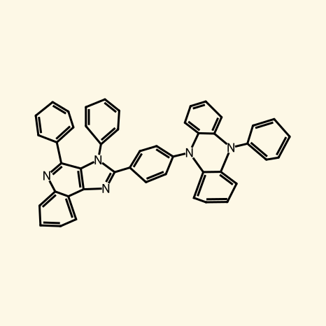 c1ccc(-c2nc3ccccc3c3nc(-c4ccc(N5c6ccccc6N(c6ccccc6)c6ccccc65)cc4)n(-c4ccccc4)c23)cc1